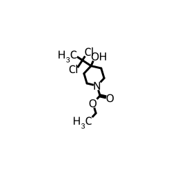 CCOC(=O)N1CCC(O)(C(C)(Cl)Cl)CC1